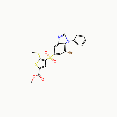 COC(=O)c1cc(S(=O)(=O)c2cc(Br)c3c(c2)ncn3-c2ccccc2)c(SC)s1